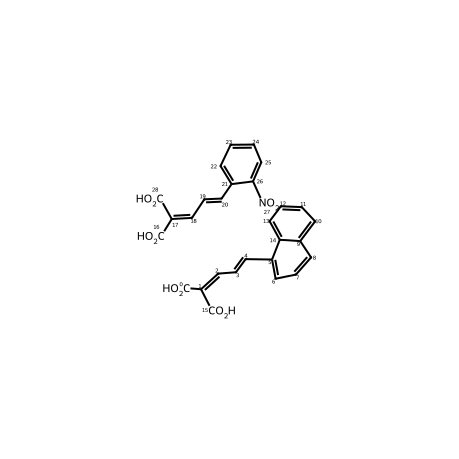 O=C(O)C(=CC=Cc1cccc2ccccc12)C(=O)O.O=C(O)C(=CC=Cc1ccccc1[N+](=O)[O-])C(=O)O